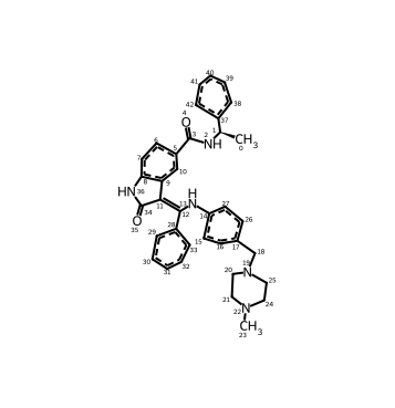 C[C@@H](NC(=O)c1ccc2c(c1)C(=C(Nc1ccc(CN3CCN(C)CC3)cc1)c1ccccc1)C(=O)N2)c1ccccc1